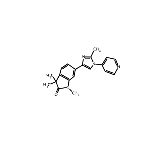 Cc1nc(-c2ccc3c(c2)N(C)C(=O)C3(C)C)cn1-c1ccncc1